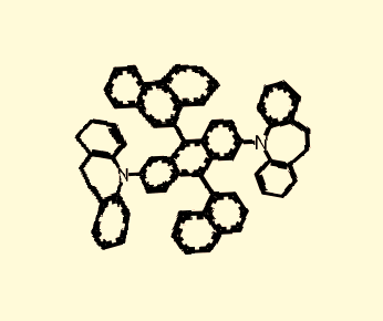 C1=CC2=C(CC1)CCc1ccccc1N2c1ccc2c(-c3cc4ccccc4c4ccccc34)c3cc(N4C5=C(CCC=C5)CCc5ccccc54)ccc3c(-c3cccc4ccccc34)c2c1